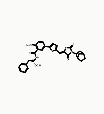 COc1ccc(-c2ccc(/C=C3\SC(=S)N(C4CC5CCC4C5)C3=O)o2)cc1C(=O)N[C@@H](Cc1ccccc1)C(=O)O